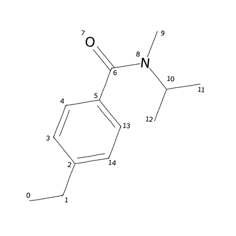 CCc1ccc(C(=O)N(C)C(C)C)cc1